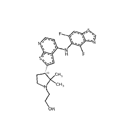 CC1(C)[C@@H](c2cc3c(Nc4c(F)cc5scnc5c4F)ccnc3s2)CCN1CCO